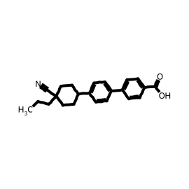 CCCC1(C#N)CCC(c2ccc(-c3ccc(C(=O)O)cc3)cc2)CC1